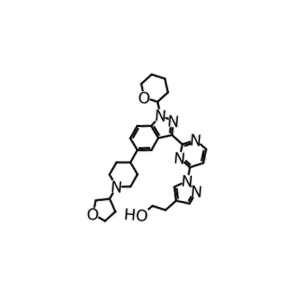 OCCc1cnn(-c2ccnc(-c3nn(C4CCCCO4)c4ccc(C5CCN(C6CCOC6)CC5)cc34)n2)c1